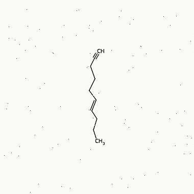 C#CCCC/C=C/CCC